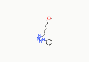 [O]CCCCCCc1nnnn1-c1ccccc1